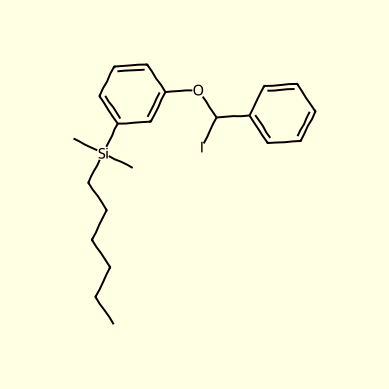 CCCCCC[Si](C)(C)c1cccc(OC(I)c2ccccc2)c1